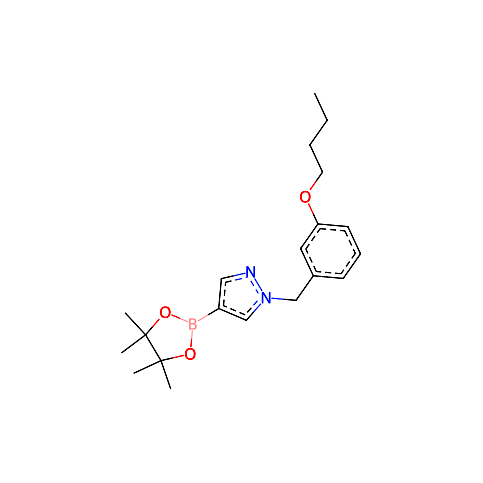 CCCCOc1cccc(Cn2cc(B3OC(C)(C)C(C)(C)O3)cn2)c1